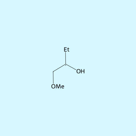 CC[C](O)COC